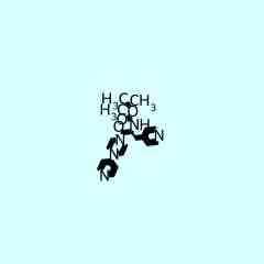 CC(C)(C)OC(=O)N[C@@H](Cc1ccncc1)C(=O)N1CCN(c2ccncc2)CC1